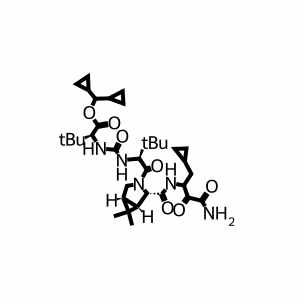 CC(C)(C)[C@H](NC(=O)N[C@H](C(=O)N1C[C@H]2[C@@H]([C@H]1C(=O)NC(CC1CC1)C(=O)C(N)=O)C2(C)C)C(C)(C)C)C(=O)OC(C1CC1)C1CC1